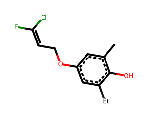 CCc1cc(OCC=C(F)Cl)cc(C)c1O